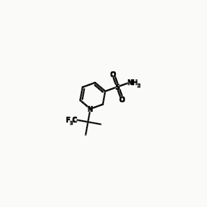 CC(C)(N1C=CC=C(S(N)(=O)=O)C1)C(F)(F)F